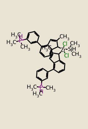 CC1=Cc2c(-c3cccc([PH](C)(C)C)c3)cccc2[CH]1[Zr]([Cl])([Cl])([CH]1C(C)=Cc2c(-c3cccc([PH](C)(C)C)c3)cccc21)[SiH](C)C